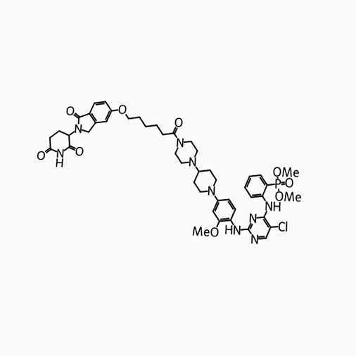 COc1cc(N2CCC(N3CCN(C(=O)CCCCCOc4ccc5c(c4)CN(C4CCC(=O)NC4=O)C5=O)CC3)CC2)ccc1Nc1ncc(Cl)c(Nc2ccccc2P(=O)(OC)OC)n1